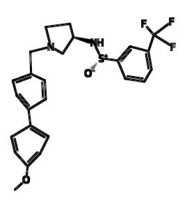 COc1ccc(-c2ccc(CN3CC[C@@H](N[S@@+]([O-])c4cccc(C(F)(F)F)c4)C3)cc2)cc1